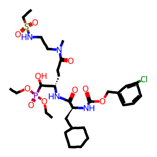 CCOP(=O)(OCC)C(O)[C@H](CCC(=O)N(C)CCNS(=O)(=O)CC)NC(=O)[C@H](CC1CCCCC1)NC(=O)OCc1cccc(Cl)c1